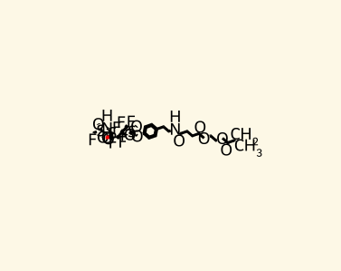 C=C(C)C(=O)OCCOC(=O)CCC(=O)NCCc1ccc(OS(=O)(=O)C(F)(F)C(F)(F)C(F)(F)S(=O)(=O)NS(=O)(=O)CF)cc1